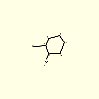 CC1CCCCC1[S]